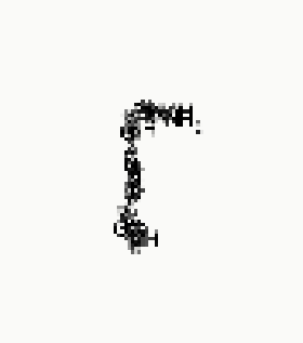 CC1(N)CCN(c2cnc(Sc3cccc(NC(=O)CCCCCCN4CC5(CCN(c6ccc(C#Cc7ccc8c(c7)CN(C7CCC(=O)NC7=O)C8=O)nn6)C5)C4)c3)cn2)CC1